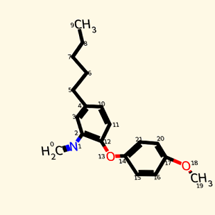 C=Nc1cc(CCCCC)ccc1Oc1ccc(OC)cc1